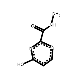 NNC(=O)c1nccc(O)n1